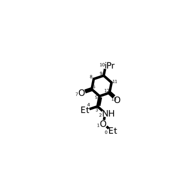 CCONC(CC)=C1C(=O)CC(C(C)C)CC1=O